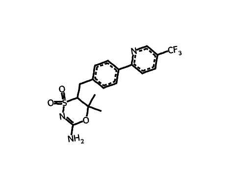 CC1(C)OC(N)=NS(=O)(=O)C1Cc1ccc(-c2ccc(C(F)(F)F)cn2)cc1